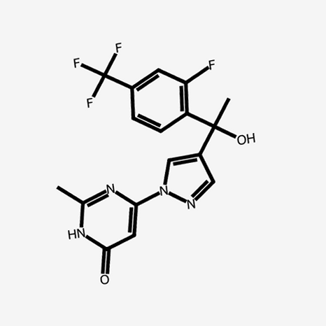 Cc1nc(-n2cc(C(C)(O)c3ccc(C(F)(F)F)cc3F)cn2)cc(=O)[nH]1